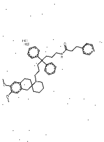 COc1cc2c(cc1OC)CC1(CCCCN1CCCC(CCCNC(=O)CCc1ccncc1)(c1ccccc1)c1ccccc1)CC2.Cl.Cl